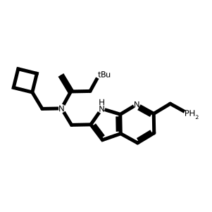 C=C(CC(C)(C)C)N(Cc1cc2ccc(CP)nc2[nH]1)CC1CCC1